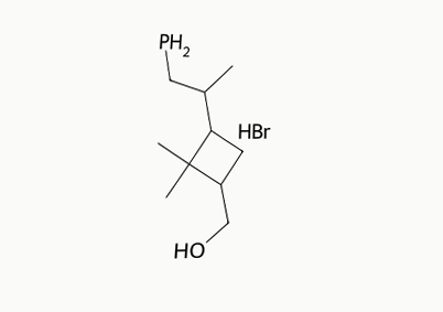 Br.CC(CP)C1CC(CO)C1(C)C